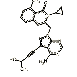 Cc1cccc2cc(Cn3nc(C#C[C@@H](C)O)c4c(N)ncnc43)n(C3CC3)c(=O)c12